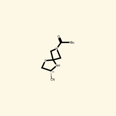 CC(C)(C)C(=O)N1CC2(C1)N[C@H](C#N)CS2